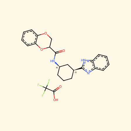 O=C(N[C@@H]1CCC[C@H](c2nc3ccccc3[nH]2)C1)C1COc2ccccc2O1.O=C(O)C(F)(F)F